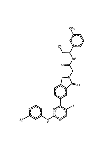 Cc1cccc(C(CO)NC(=O)CN2Cc3ccc(-c4nc(Nc5ccnc(C)c5)ncc4Cl)cc3C2=O)c1